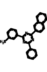 Bc1cccc(-c2nc(-c3ccccc3)nc(-c3ccc4ccccc4c3)n2)c1